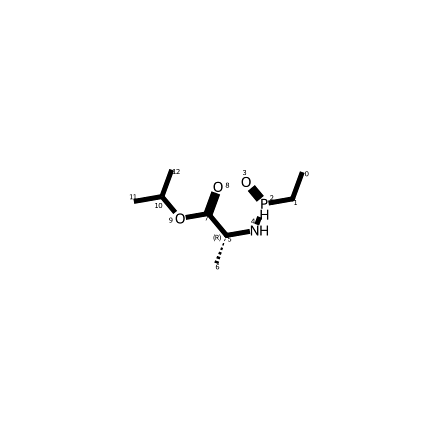 CC[PH](=O)N[C@H](C)C(=O)OC(C)C